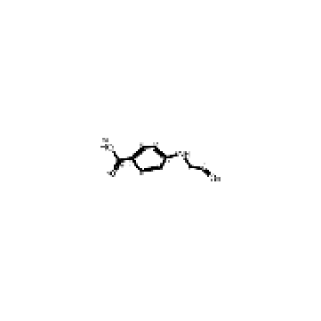 O=ICNc1ccc(C(=O)O)cc1